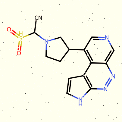 N#CC(N1CCC(c2cncc3nnc4[nH]ccc4c23)C1)[SH](=O)=O